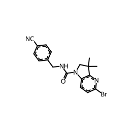 CC1(C)CN(C(=O)NCc2ccc(C#N)cc2)c2ccc(Br)nc21